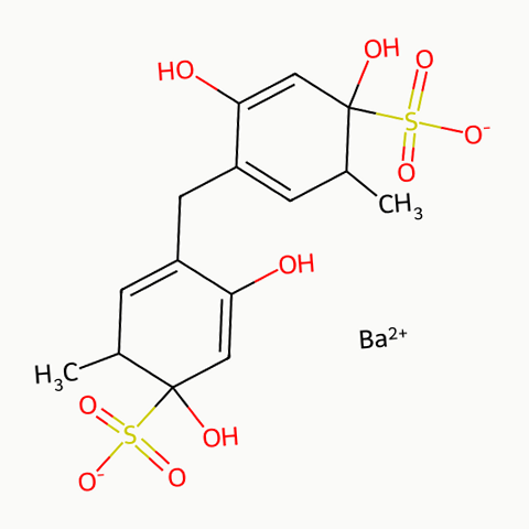 CC1C=C(CC2=CC(C)C(O)(S(=O)(=O)[O-])C=C2O)C(O)=CC1(O)S(=O)(=O)[O-].[Ba+2]